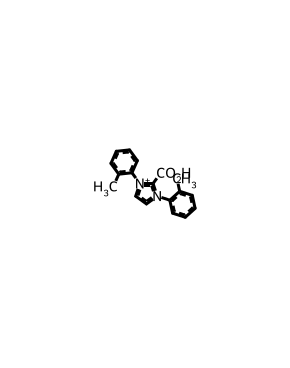 Cc1ccccc1-n1cc[n+](-c2ccccc2C)c1C(=O)O